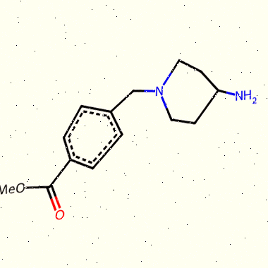 COC(=O)c1ccc(CN2CCC(N)CC2)cc1